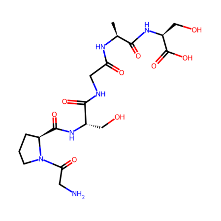 C[C@H](NC(=O)CNC(=O)[C@H](CO)NC(=O)[C@@H]1CCCN1C(=O)CN)C(=O)N[C@@H](CO)C(=O)O